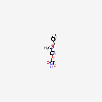 C/C(=N\OCc1ccc(C)cc1)c1ccc(OCC2CC(=O)NC2=O)nc1